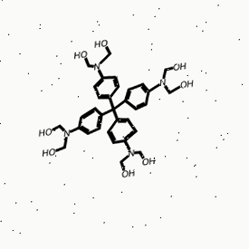 OCN(CO)c1ccc(C(c2ccc(N(CO)CO)cc2)(c2ccc(N(CO)CO)cc2)c2ccc(N(CO)CO)cc2)cc1